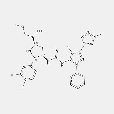 COCC(O)[C@H]1C[C@@H](NC(=O)Nc2c(C)c(-c3cnn(C)c3)nn2-c2ccccc2)[C@H](c2ccc(F)c(F)c2)N1